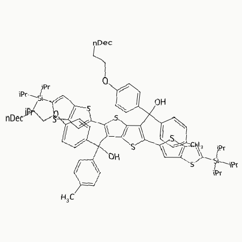 CCCCCCCCCCCCOc1ccc(C(O)(c2ccc(C)cc2)c2c(-c3cc4sc([Si](C(C)C)(C(C)C)C(C)C)cc4s3)sc3c(C(O)(c4ccc(C)cc4)c4ccc(OCCCCCCCCCCCC)cc4)c(-c4cc5sc([Si](C(C)C)(C(C)C)C(C)C)cc5s4)sc23)cc1